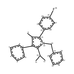 Cc1c(-c2ccccc2)c(C(C)C)n(Cc2ccccc2)c1-c1ccc(F)cc1